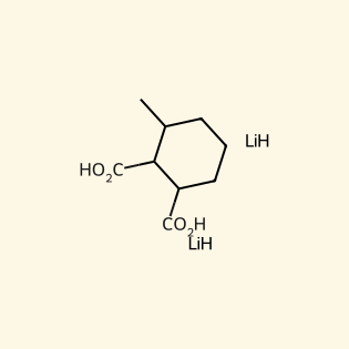 CC1CCCC(C(=O)O)C1C(=O)O.[LiH].[LiH]